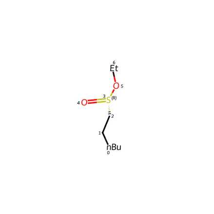 CCCCCC[S@](=O)OCC